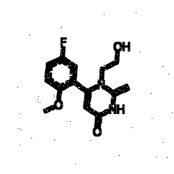 C=C1NC(=O)C=C(c2cc(F)ccc2OC)N1CCO